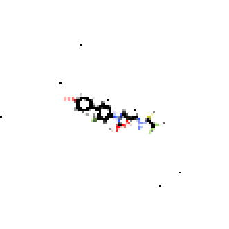 O=C1OC(CNC(=S)C(F)F)CN1c1ccc(C2CCC(O)CC2)c(F)c1